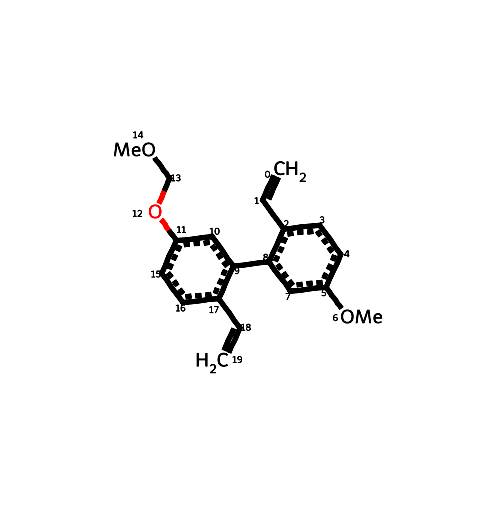 C=Cc1ccc(OC)cc1-c1cc(OCOC)ccc1C=C